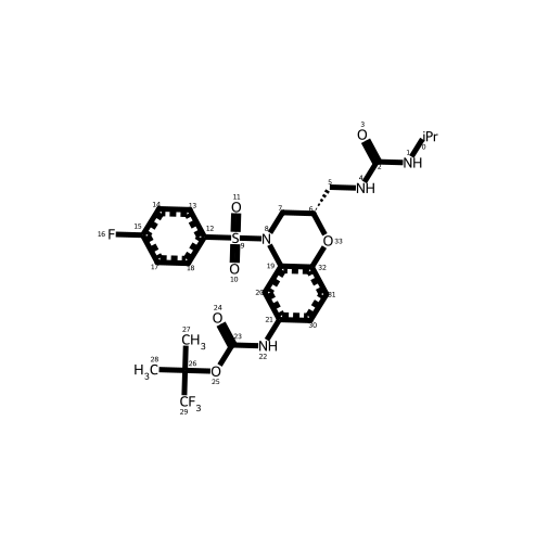 CC(C)NC(=O)NC[C@H]1CN(S(=O)(=O)c2ccc(F)cc2)c2cc(NC(=O)OC(C)(C)C(F)(F)F)ccc2O1